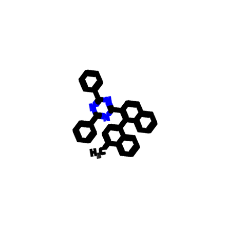 Cc1ccc(-c2c(-c3nc(-c4ccccc4)nc(-c4ccccc4)n3)ccc3ccccc23)c2ccccc12